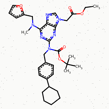 CCOC(=O)Cn1cnc2c(N(C)Cc3ccco3)nc(N(Cc3ccc(C4CCCCC4)cc3)C(=O)OC(C)(C)C)nc21